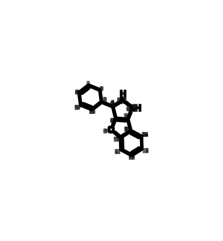 C1=CCC(C2NNc3c2oc2ccccc32)C=C1